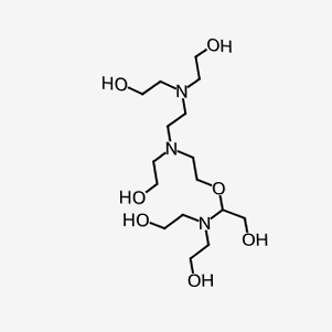 OCCN(CCO)CCN(CCO)CCOC(CO)N(CCO)CCO